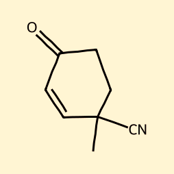 CC1(C#N)C=CC(=O)CC1